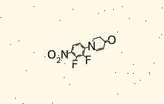 O=C1C=CN(c2ccc([N+](=O)[O-])c(F)c2F)CC1